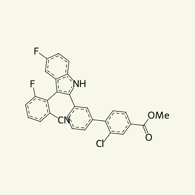 COC(=O)c1ccc(-c2cccc(-c3[nH]c4ccc(F)cc4c3-c3c(F)cccc3C#N)c2)c(Cl)c1